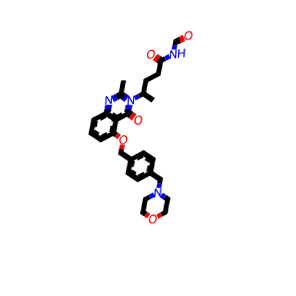 Cc1nc2cccc(OCc3ccc(CN4CCOCC4)cc3)c2c(=O)n1C(C)CCC(=O)NC=O